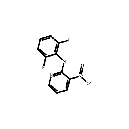 O=[N+]([O-])c1cccnc1Nc1c(F)cccc1F